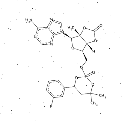 CC1(C)CC(c2cccc(F)c2)OP(=O)(OC[C@H]2O[C@@H](n3cnc4c(N)ncnc43)[C@]3(C)OC(=O)O[C@H]23)O1